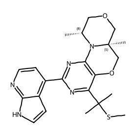 CSC(C)(C)c1nc(-c2ccnc3[nH]ccc23)nc2c1OC[C@]1(C)COC[C@@H](C)N21